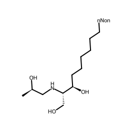 CCCCCCCCCCCCCCC[C@@H](O)[C@H](CO)NC[C@@H](C)O